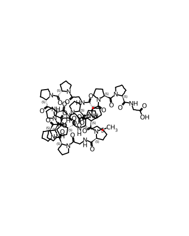 CSCC[C@H](NC(=O)[C@@H]1CCCN1C(=O)CNC(=O)[C@@H]1CCCN1C(=O)[C@@H]1CCCN1C(=O)CNC(=O)[C@@H]1CCCN1C(=O)[C@@H]1CCCN1C(=O)CNC(=O)[C@@H]1CCCN1C(=O)[C@@H]1CCCN1C(=O)CNC(=O)[C@@H]1CCCN1C(=O)[C@@H]1CCCN1C(=O)CNC(=O)[C@@H]1CCCN1C(=O)[C@@H]1CCCN1)C(=O)NCC(=O)N1CCC[C@H]1C(=O)N1CCC[C@H]1C(=O)NCC(=O)O